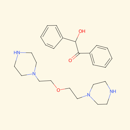 C1CN(CCOCCN2CCNCC2)CCN1.O=C(c1ccccc1)C(O)c1ccccc1